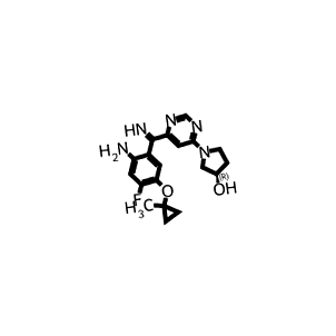 CC1(Oc2cc(C(=N)c3cc(N4CC[C@@H](O)C4)ncn3)c(N)cc2F)CC1